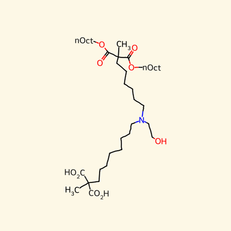 CCCCCCCCOC(=O)C(C)(CCCCCCN(CCO)CCCCCCCCC(C)(C(=O)O)C(=O)O)C(=O)OCCCCCCCC